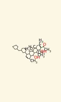 CC(=O)C1=C(C)CC2(C)CC3(C)CC4C(C5C=CCC(CC6CCCC6)C5)C=CC(C)C4C(O)C3C(C)C2(C)C1O